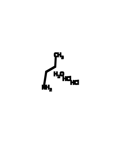 CCCN.Cl.Cl.O